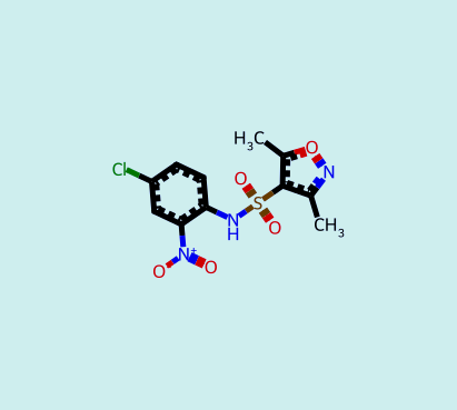 Cc1noc(C)c1S(=O)(=O)Nc1ccc(Cl)cc1[N+](=O)[O-]